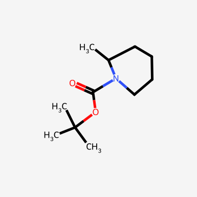 CC1CCCCN1C(=O)OC(C)(C)C